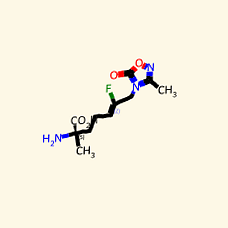 Cc1noc(=O)n1C/C(F)=C/CC[C@](C)(N)C(=O)O